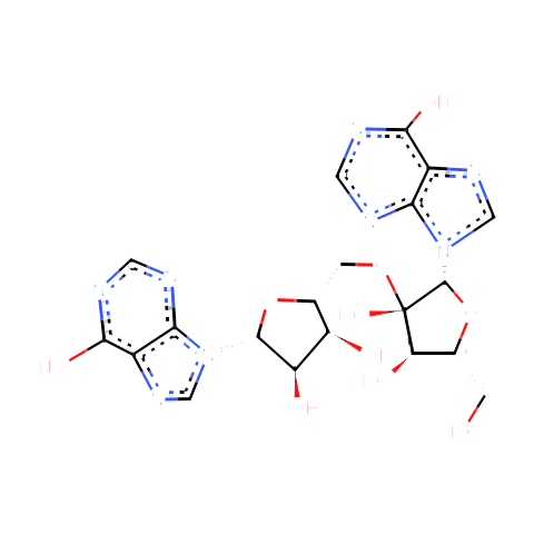 O[CH][C@H]1O[C@@H](n2cnc3c(O)ncnc32)[C@@](O)(O[CH][C@H]2O[C@@H](n3cnc4c(O)ncnc43)[C@H](O)[C@@H]2O)[C@@H]1O